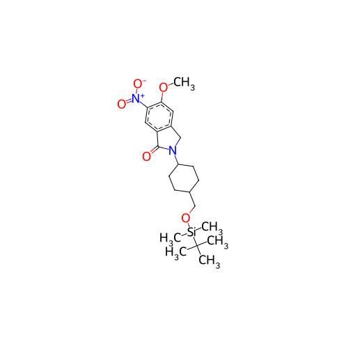 COc1cc2c(cc1[N+](=O)[O-])C(=O)N(C1CCC(CO[Si](C)(C)C(C)(C)C)CC1)C2